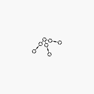 C(#Cc1ccc(-c2cccc(-c3ccc(C#Cc4ccccc4)cc3)c2-c2ccc(C#Cc3ccccc3)cc2)cc1)c1ccccc1